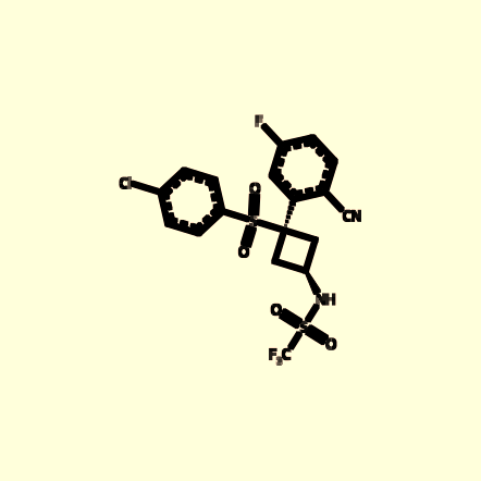 N#Cc1ccc(F)cc1[C@]1(S(=O)(=O)c2ccc(Cl)cc2)C[C@@H](NS(=O)(=O)C(F)(F)F)C1